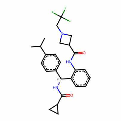 CC(C)c1ccc([C@@H](NC(=O)C2CC2)c2ccccc2NC(=O)C2CN(CC(F)(F)F)C2)cc1